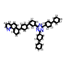 c1ccc(-c2ccc(-c3nc(-c4ccc(-c5ccccc5)cc4)nc(-c4cccc(-c5ccc(-c6cccc7c6ccc6cccnc67)cc5)c4)n3)cc2)cc1